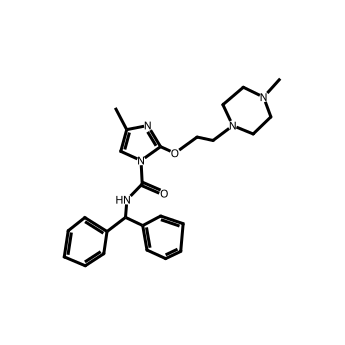 Cc1cn(C(=O)NC(c2ccccc2)c2ccccc2)c(OCCN2CCN(C)CC2)n1